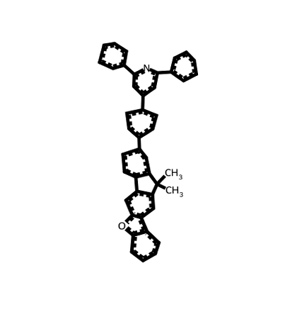 CC1(C)c2cc(-c3ccc(-c4cc(-c5ccccc5)nc(-c5ccccc5)c4)cc3)ccc2-c2cc3oc4ccccc4c3cc21